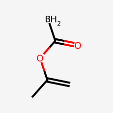 BC(=O)OC(=C)C